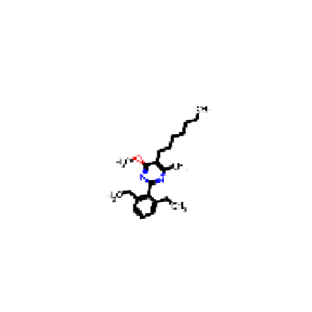 CCCCCCCc1c(C)nc(-c2c(CC)cccc2CC)nc1OC